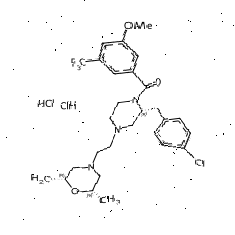 COc1cc(C(=O)N2CCN(CCN3C[C@@H](C)O[C@@H](C)C3)C[C@H]2Cc2ccc(Cl)cc2)cc(C(F)(F)F)c1.Cl.Cl